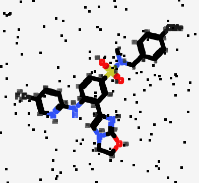 COc1ccc(CN(C)S(=O)(=O)c2ccc(Nc3ccc(C(F)(F)F)cn3)c(-c3cn4c(n3)OCC4)c2)cc1